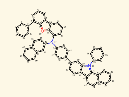 c1ccc(-c2cccc3c2oc2c(N(c4ccc(-c5ccc6c7ccc8ccccc8c7n(-c7ccccc7)c6c5)cc4)c4ccc5ccccc5c4)cccc23)cc1